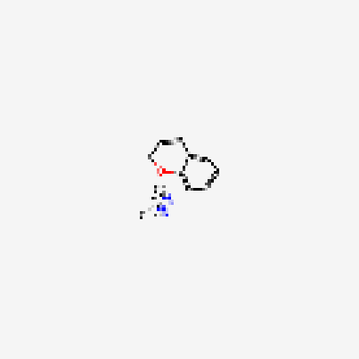 C1=Cc2ccccc2OC1.[C-]#N.[C-]#N.[Cu+2]